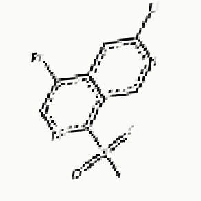 CC(C)c1cnc(S(C)(=O)=O)c2cnc(Cl)cc12